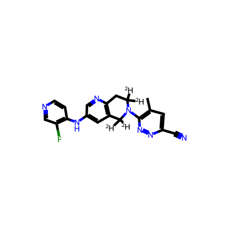 [2H]C1([2H])Cc2ncc(Nc3ccncc3F)cc2C([2H])([2H])N1c1nnc(C#N)cc1C